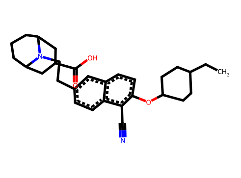 CCC1CCC(Oc2ccc3cc(CCN4C5CCCC4CC(C(=O)O)C5)ccc3c2C#N)CC1